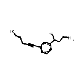 NCCC(O)c1cccc(C#CCCCO)c1